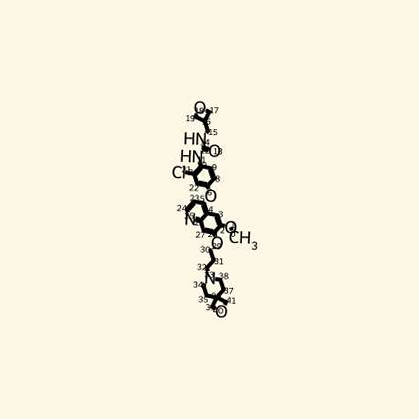 COc1cc2c(Oc3ccc(NC(=O)NCC4COC4)c(Cl)c3)ccnc2cc1OCCCN1CCC2(CC1)COC2